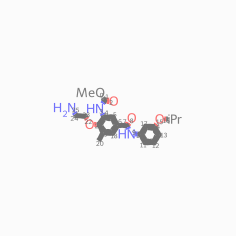 COC(=O)Nc1cc(C(=O)Nc2cccc(OC(C)C)c2)cc(C)c1OCCN